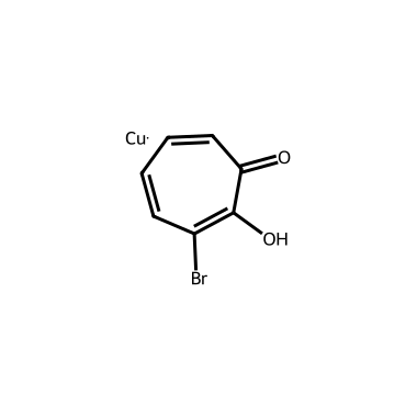 O=c1ccccc(Br)c1O.[Cu]